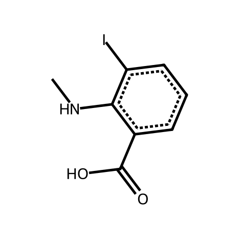 CNc1c(I)cccc1C(=O)O